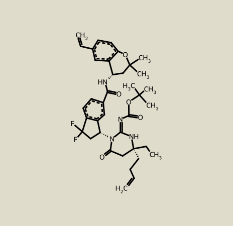 C=CCC[C@]1(CC)CC(=O)N([C@@H]2CC(F)(F)c3ccc(C(=O)N[C@H]4CC(C)(C)Oc5ccc(C=C)cc54)cc32)/C(=N/C(=O)OC(C)(C)C)N1